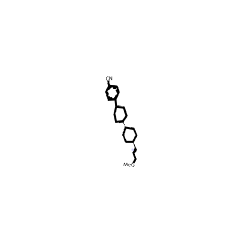 COC/C=C/[C@H]1CC[C@H](C2CCC(c3ccc(C#N)cc3)CC2)CC1